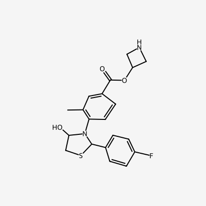 Cc1cc(C(=O)OC2CNC2)ccc1N1C(O)CSC1c1ccc(F)cc1